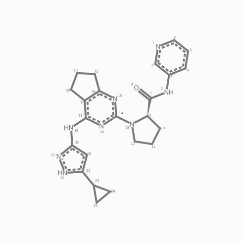 O=C(Nc1cccnc1)[C@H]1CCCN1c1nc2c(c(Nc3cc(C4CC4)[nH]n3)n1)CCC2